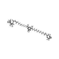 CC1(C)CC(CCCCCCCCCCCCNc2nc(Cl)nc(NCCCCCCCCCCCCC3CC(C)(C)NC(C)(C)C3)n2)CC(C)(C)N1